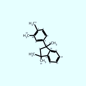 Cc1ccc(C2(C)CC(C)(C)c3ccccc32)cc1C